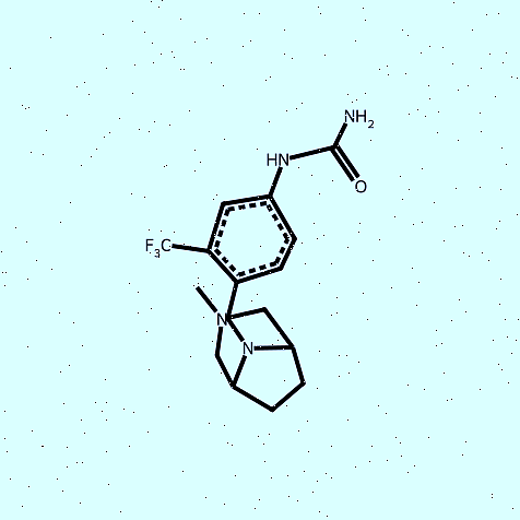 CN1CC2CCC(C1)N2Cc1ccc(NC(N)=O)cc1C(F)(F)F